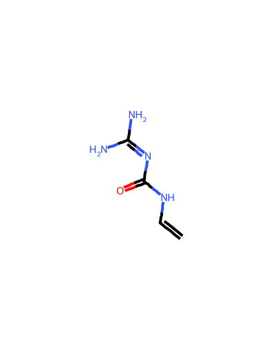 C=CNC(=O)N=C(N)N